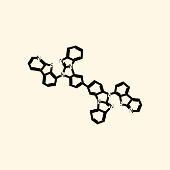 c1ccc2c(c1)nc1n(-c3cccc4c3sc3ncccc34)c3ccc(-c4ccc5c(c4)n4c6ccccc6nc4n5-c4cccc5c4sc4ncccc45)cc3n21